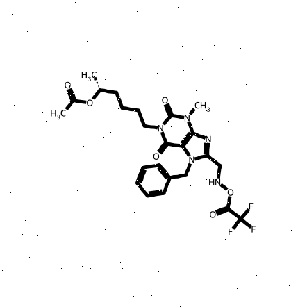 CC(=O)O[C@H](C)CCCCn1c(=O)c2c(nc(CNOC(=O)C(F)(F)F)n2Cc2ccccc2)n(C)c1=O